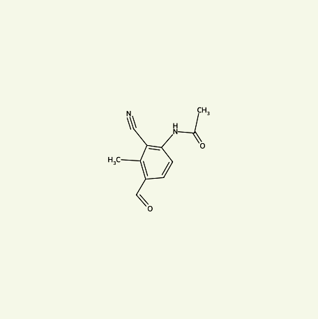 CC(=O)Nc1ccc(C=O)c(C)c1C#N